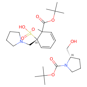 CC(C)(C)OC(=O)C1(C)C=CC=C[C@]1(CN1CCCC1)S(=O)(=O)O.CC(C)(C)OC(=O)N1CCC[C@H]1CO